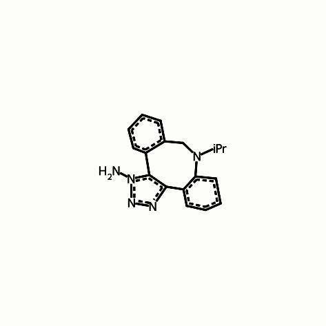 CC(C)N1Cc2ccccc2-c2c(nnn2N)-c2ccccc21